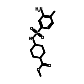 COC(=O)C1CCC(NS(=O)(=O)c2ccc(C)c(N)c2)CC1